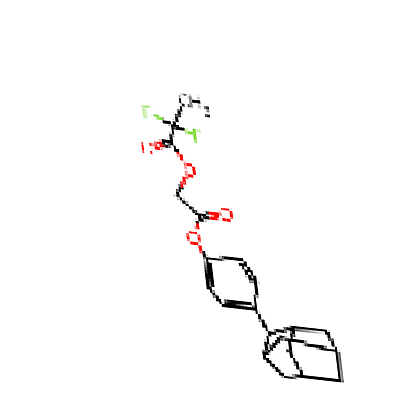 CC(F)(F)C(=O)OCC(=O)Oc1ccc(C2C3CC4CC(C3)CC2C4)cc1